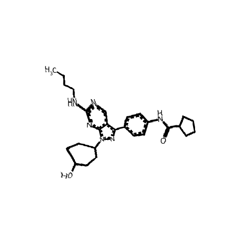 CCCCNc1ncc2c(-c3ccc(NC(=O)C4CCCC4)cc3)nn(C3CCC(O)CC3)c2n1